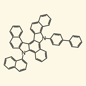 c1ccc(-c2ccc(-n3c4c5ccccc5ccc4c4c5c6c7ccccc7ccc6n(-c6cccc7ccccc67)c5c5ccccc5c43)cc2)cc1